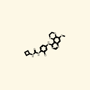 COc1cc2ncnc(Nc3ccc(NC(=O)NC4CCC4)c(Cl)c3)c2c2c1OCCO2